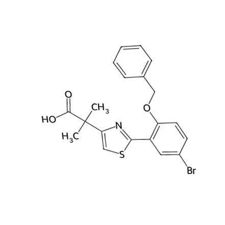 CC(C)(C(=O)O)c1csc(-c2cc(Br)ccc2OCc2ccccc2)n1